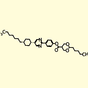 CCCCCCC[C@H]1CC[C@H](c2cnc(-c3ccc(OC(=O)C4COC(CCCCC)OC4)cc3)nc2)CC1